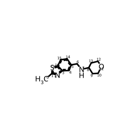 Cc1nc2cc(CNC3CCOCC3)ccc2s1